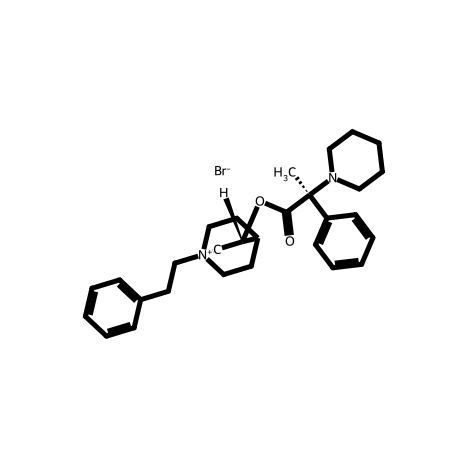 C[C@@](C(=O)O[C@H]1C[N+]2(CCc3ccccc3)CCC1CC2)(c1ccccc1)N1CCCCC1.[Br-]